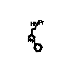 CC(C)NCCc1cnn(-c2ccccc2)c1